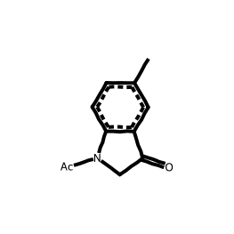 CC(=O)N1CC(=O)c2cc(C)ccc21